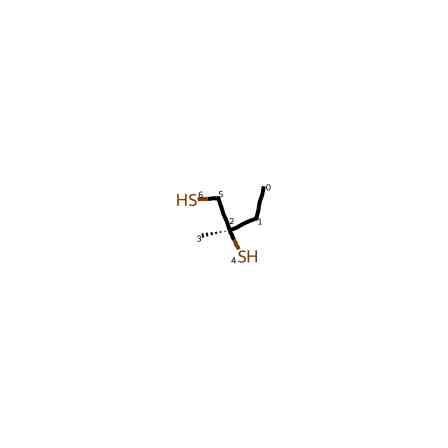 CC[C@@](C)(S)CS